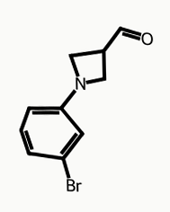 O=CC1CN(c2cccc(Br)c2)C1